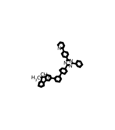 CC1(C)c2ccccc2-c2cc(-c3cccc(-c4ccc(-c5nc(-c6ccccc6)nc(-c6ccc(-c7ccccn7)cc6)n5)cc4)c3)ccc21